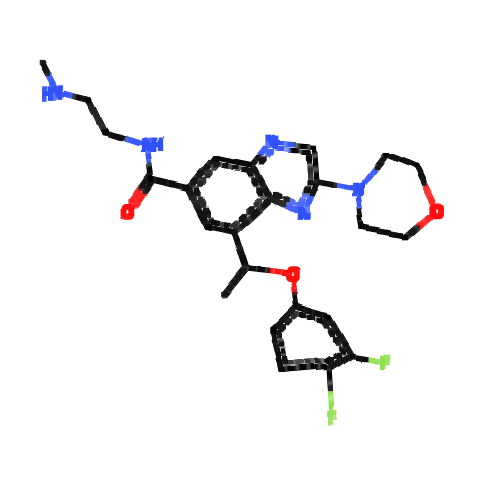 CNCCNC(=O)c1cc(C(C)Oc2ccc(F)c(F)c2)c2nc(N3CCOCC3)cnc2c1